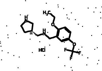 CCOc1ccc(OC(F)(F)F)cc1CNC[C@@H]1CCNC1.Cl